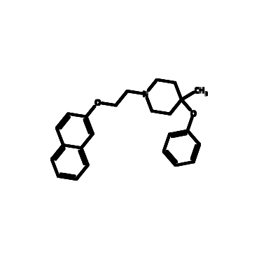 CC1(Oc2ccccc2)CCN(CCOc2ccc3ccccc3c2)CC1